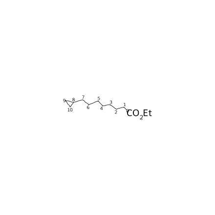 CCOC(=O)CCCCCCCC1CC1